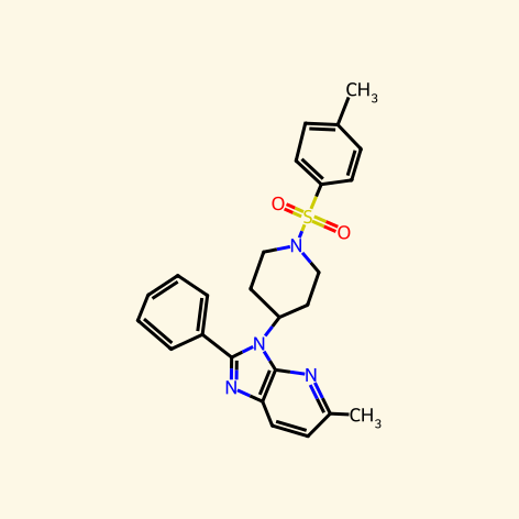 Cc1ccc(S(=O)(=O)N2CCC(n3c(-c4ccccc4)nc4ccc(C)nc43)CC2)cc1